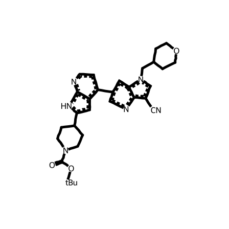 CC(C)(C)OC(=O)N1CCC(c2cc3c(-c4cnc5c(C#N)cn(CC6CCOCC6)c5c4)ccnc3[nH]2)CC1